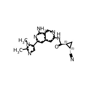 Cc1ncc(-c2cc3cc(NC(=O)[C@H]4C[C@@H]4C#N)ncc3c(N)n2)n1C